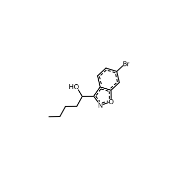 CCCCC(O)c1noc2cc(Br)ccc12